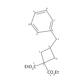 CCOC(=O)C1(C(=O)OCC)CC(Cc2ccccc2)C1